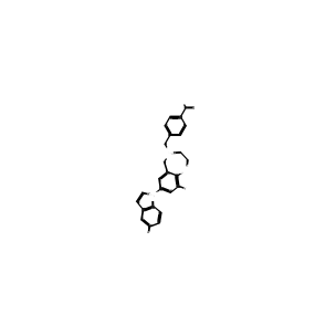 Fc1ccc2c(ccn2-c2cc(Cl)c3c(c2)CN(Cc2ccc(C(F)F)cc2)CCO3)c1